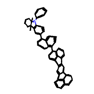 CC12CCCCC1(C)N(c1ccccc1)c1ccc(-c3cccc4c(-c5ccc6c7cc8c(cc7c7cccc5c76)c5cccc6cccc8c65)cccc34)cc12